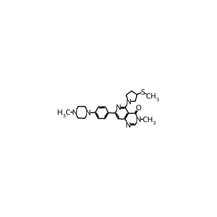 CSC1CCN(c2nc(-c3ccc(N4CCN(C)CC4)cc3)cc3ncn(C)c(=O)c23)C1